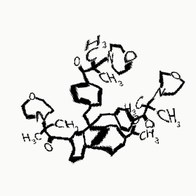 CC(=O)c1ccc2c(c1)C(Cc1ccc(C(=O)C(C)(C)N3CCOCC3)cc1)(Cc1ccc(C(=O)C(C)(C)N3CCOCC3)cc1)c1cc(C(=O)C(C)(C)N3CCOCC3)ccc1-2